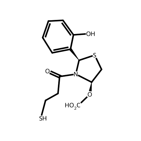 O=C(O)O[C@@H]1CS[C@H](c2ccccc2O)N1C(=O)CCS